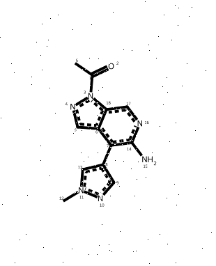 CC(=O)n1ncc2c(-c3cnn(C)c3)c(N)ncc21